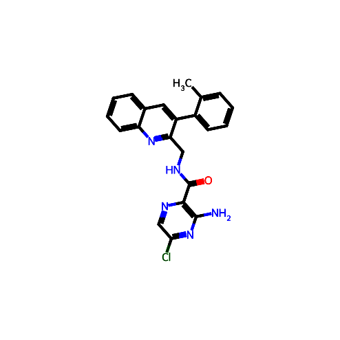 Cc1ccccc1-c1cc2ccccc2nc1CNC(=O)c1ncc(Cl)nc1N